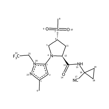 Cc1cc(N2C[C@H](S(C)(=O)=O)C[C@H]2C(=O)NC2(C#N)CC2)n(CC(F)(F)F)n1